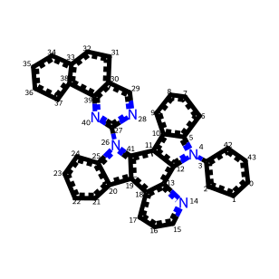 c1ccc(-n2c3ccccc3c3c2c2ncccc2c2c4ccccc4n(-c4ncc5ccc6ccccc6c5n4)c23)cc1